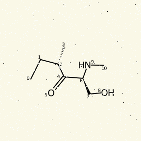 CC[C@H](C)C(=O)[C@H](CO)NC